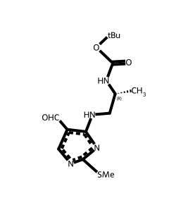 CSc1ncc(C=O)c(NC[C@@H](C)NC(=O)OC(C)(C)C)n1